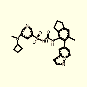 Cc1cc2c(c(NC(=O)NS(=O)(=O)c3cncc(N(C)C4CCC4)c3)c1-c1ccn3nccc3c1)CCC2